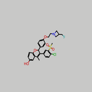 CC1=C(c2ccc(Cl)c(S(C)(=O)=O)c2)C(c2ccc(OCCN3CC(CF)C3)cc2)Oc2ccc(O)cc21